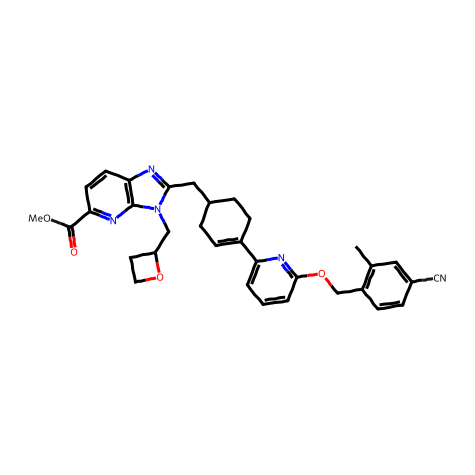 COC(=O)c1ccc2nc(CC3CC=C(c4cccc(OCc5ccc(C#N)cc5C)n4)CC3)n(CC3CCO3)c2n1